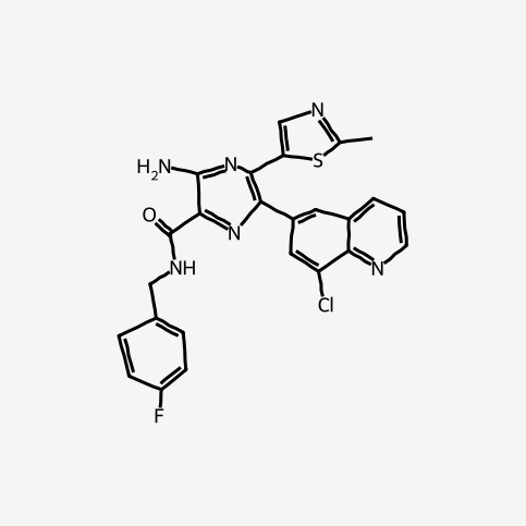 Cc1ncc(-c2nc(N)c(C(=O)NCc3ccc(F)cc3)nc2-c2cc(Cl)c3ncccc3c2)s1